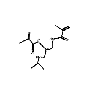 C=C(C)C(=O)NCC(CNC(C)C)NC(=O)C(=C)C